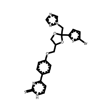 S=c1nc(-c2ccc(OCC3COC(Cn4cncn4)(c4ccc(Br)s4)O3)cc2)cc[nH]1